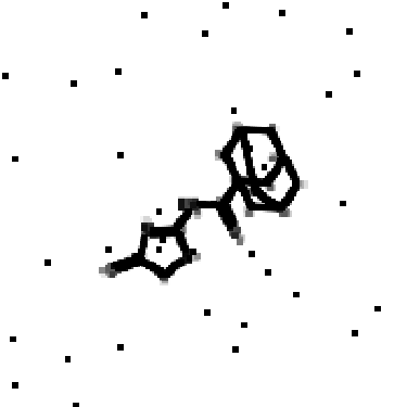 O=C1CSC(NC(=O)C23CC4CC(CC(C4)C2)C3)=N1